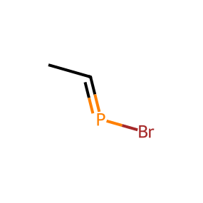 CC=PBr